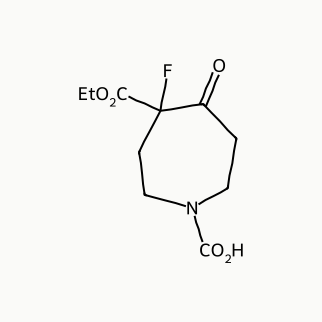 CCOC(=O)C1(F)CCN(C(=O)O)CCC1=O